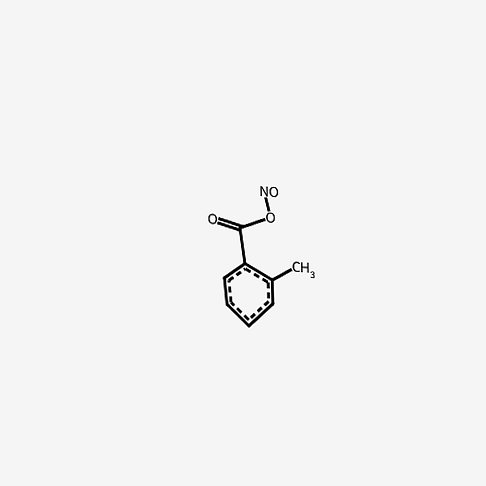 Cc1ccccc1C(=O)ON=O